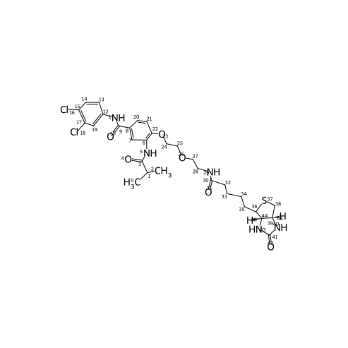 CC(C)C(=O)Nc1cc(C(=O)Nc2ccc(Cl)c(Cl)c2)ccc1OCCOCCNC(=O)CCCCC1SC[C@@H]2NC(=O)N[C@H]12